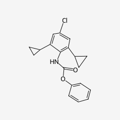 O=C(Nc1c(C2CC2)cc(Cl)cc1C1CC1)Oc1ccccc1